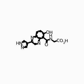 O=C(O)CNC(=O)c1c(O)ccc2nc(-c3cn[nH]c3)cnc12